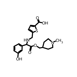 CN1CCC(COC(=O)C(NCc2ccc(C(=O)O)s2)c2cccc(O)c2)CC1